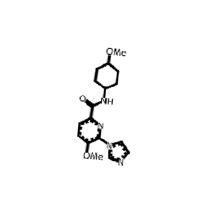 COc1ccc(C(=O)NC2CCC(OC)CC2)nc1-n1ccnc1